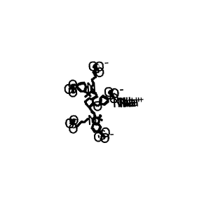 CC1(C)C(/C=C/C2=C(Oc3ccc(S(=O)(=O)[O-])cc3)C(=C/C=C3/N(CCCCS(=O)(=O)[O-])c4ccc(S(=O)(=O)[O-])cc4C3(C)C)/CCC2)=[N+](CCCCS(=O)(=O)[O-])c2ccc(S(=O)(=O)[O-])cc21.[Na+].[Na+].[Na+].[Na+]